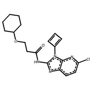 O=C(CCOC1CCCCC1)Nc1nc2ccc(Cl)nc2n1C1=CC=C1